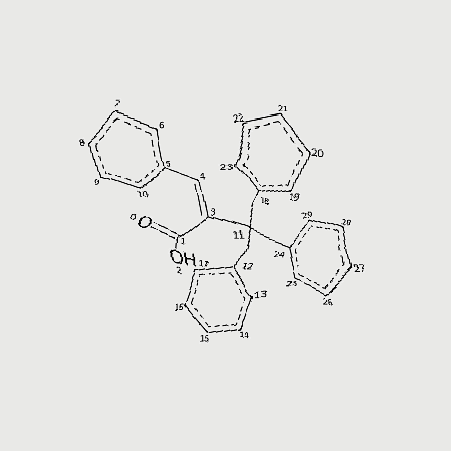 O=C(O)C(=Cc1ccccc1)C(c1ccccc1)(c1ccccc1)c1ccccc1